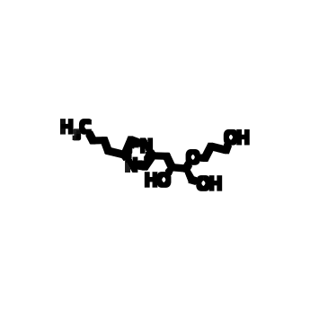 CCCCc1cnc(C[C@H](O)[C@H](CO)OCCCO)cn1